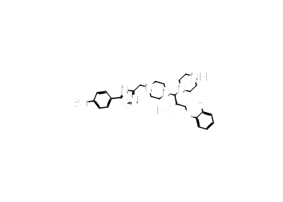 CC(C)(C)c1ccc(-c2nc(CN3CCN(C([C@@H](O)COc4ccccc4F)N4CCNCC4)CC3)no2)cc1